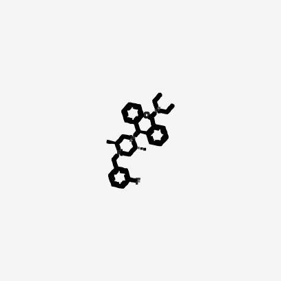 CCN(CC)C(=O)c1ccccc1[C@H](c1ccccc1)N1C[C@H](C)N(Cc2cccc(F)c2)C[C@H]1C